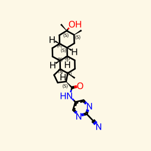 C[C@H]1C[C@H]2[C@H](CC[C@@H]3[C@@H]2CC[C@]2(C)[C@@H](C(=O)Nc4cnc(C#N)nc4)CC[C@@H]32)C[C@]1(C)O